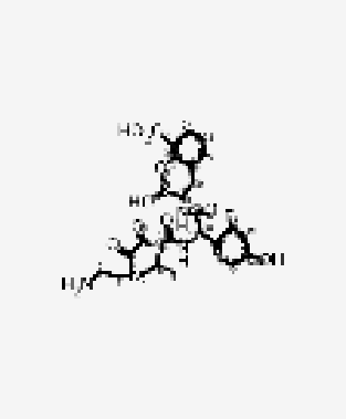 C[C@H]1CN(CCN)C(=O)C(=O)N1C(=O)N[C@@H](C(=O)N[C@H]1Cc2cccc(C(=O)O)c2OB1O)c1ncc(O)cc1F